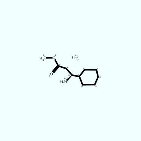 COC(=O)C[C@H](N)C1CCCCC1.Cl